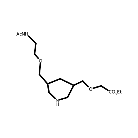 CCOC(=O)COCC1CNCC(COCCNC(C)=O)C1